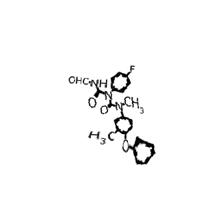 Cc1cc(N(C)C(=O)N(C(=O)NC=O)c2ccc(F)cc2)ccc1Oc1ccccc1